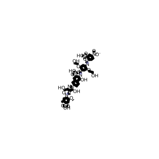 COc1cc(S(=O)(=O)O)c(C)cc1/N=N/c1c(C(=O)O)nn(-c2ccc3c(O)c(/N=N/c4cc(OCCO)c(/N=N/c5ccc([N+](=O)[O-])cc5S(=O)(=O)O)cc4OCCO)c(S(=O)(=O)O)cc3c2)c1O